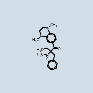 CCC(Cc1ccccc1)(C(=O)c1ccc2c(c1)N(C)CCN2C)N(C)C